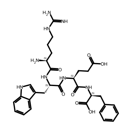 N=C(N)NCCC[C@H](N)C(=O)N[C@@H](Cc1c[nH]c2ccccc12)C(=O)N[C@@H](CCC(=O)O)C(=O)N[C@@H](Cc1ccccc1)C(=O)O